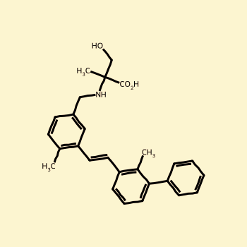 Cc1ccc(CNC(C)(CO)C(=O)O)cc1/C=C/c1cccc(-c2ccccc2)c1C